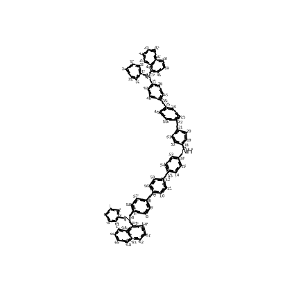 c1ccc(N(c2ccc(-c3ccc(-c4ccc(Nc5ccc(-c6ccc(-c7ccc(N(c8ccccc8)c8cccc9ccccc89)cc7)cc6)cc5)cc4)cc3)cc2)c2cccc3ccccc23)cc1